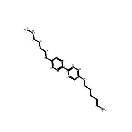 CCCCC=CCCCOc1cnc(-c2ccc(CCCCCOCCC)cc2)nc1